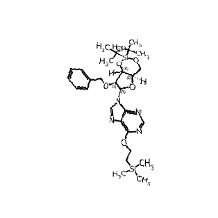 CC(C)(C)[Si]1(C(C)(C)C)OC[C@H]2O[C@@H](n3cnc4c(OCC[Si](C)(C)C)ncnc43)[C@@H](OCc3ccccc3)[C@@H]2O1